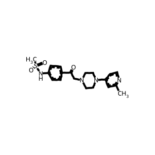 Cc1cc(N2CCN(CC(=O)c3ccc(NS(C)(=O)=O)cc3)CC2)ccn1